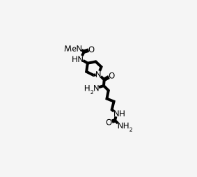 CNC(=O)NC1CCN(C(=O)C(N)CCCCNC(N)=O)CC1